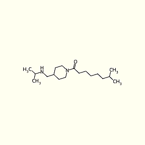 CC(C)CCCCCC(=O)N1CCC(CNC(C)C)CC1